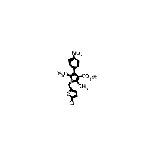 CCOC(=O)c1c(-c2ccc([N+](=O)[O-])cc2)c(C)n(Cc2ccc(Cl)s2)c1C